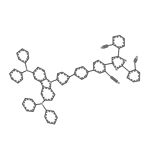 N#Cc1ccccc1-c1cc(-c2ccc(-c3ccc(-c4ccc(-n5c6ccc(N(c7ccccc7)c7ccccc7)cc6c6cc(N(c7ccccc7)c7ccccc7)ccc65)cc4)cc3)cc2C#N)nc(-c2ccccc2C#N)n1